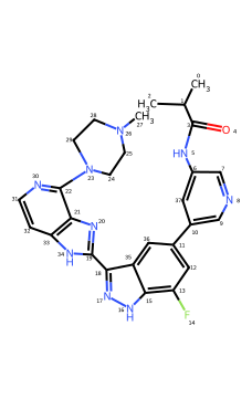 CC(C)C(=O)Nc1cncc(-c2cc(F)c3[nH]nc(-c4nc5c(N6CCN(C)CC6)nccc5[nH]4)c3c2)c1